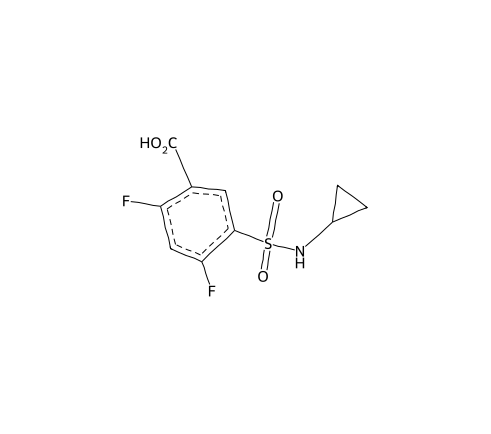 O=C(O)c1cc(S(=O)(=O)NC2CC2)c(F)cc1F